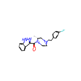 C[C@@H]1CN(CCc2ccc(F)cc2)CCN1C(=O)c1n[nH]c2ccccc12